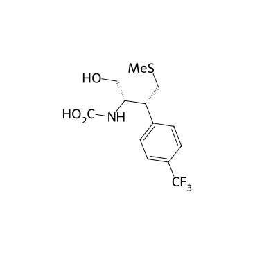 CSC[C@H](c1ccc(C(F)(F)F)cc1)[C@@H](CO)NC(=O)O